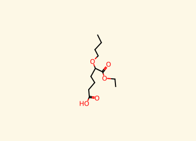 CCCCOC(CCCC(=O)O)C(=O)OCC